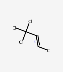 Cl/C=C/C(Cl)(Cl)Cl